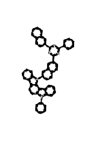 c1ccc(-c2nc(-c3ccc4ccccc4c3)nc(-c3ccc4ccc(-n5c6ccccc6c6ccc7c(c8ccccc8n7-c7ccccc7)c65)cc4c3)n2)cc1